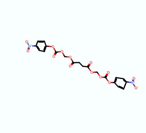 O=C(CCC(=O)OCOC(=O)Oc1ccc([N+](=O)[O-])cc1)OCOC(=O)Oc1ccc([N+](=O)[O-])cc1